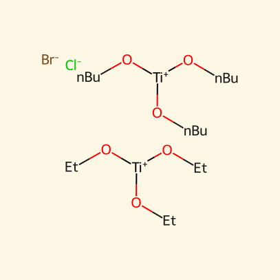 CCCC[O][Ti+]([O]CCCC)[O]CCCC.CC[O][Ti+]([O]CC)[O]CC.[Br-].[Cl-]